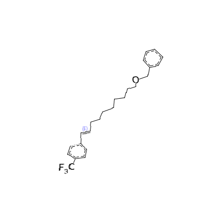 FC(F)(F)c1ccc(/C=C/CCCCCCCCOCc2ccccc2)cc1